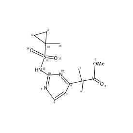 COC(=O)C(C)(C)c1ccnc(NS(=O)(=O)C2(C)CC2)n1